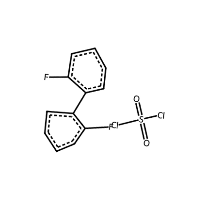 Fc1ccccc1-c1ccccc1F.O=S(=O)(Cl)Cl